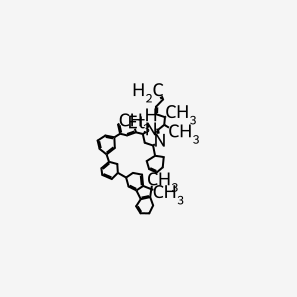 C=C/C=C\C(C)C(C)C1=NC(C2CC=CCC2)CC(/C(=C/C(=C\C)c2cccc(C3=CC=CC(C4C=C5C(=CC4)C(C)(C)C4=C5C=CCC4)C3)c2)CC)N1